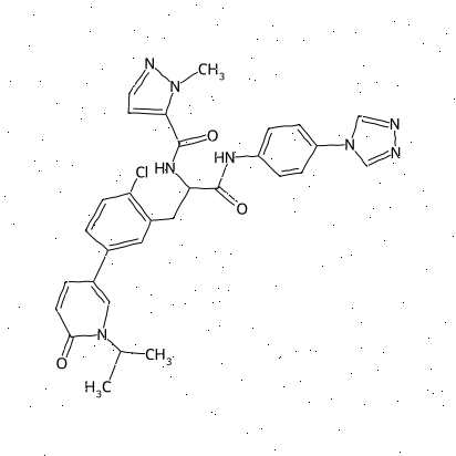 CC(C)n1cc(-c2ccc(Cl)c(CC(NC(=O)c3ccnn3C)C(=O)Nc3ccc(-n4cnnc4)cc3)c2)ccc1=O